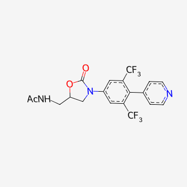 CC(=O)NCC1CN(c2cc(C(F)(F)F)c(-c3ccncc3)c(C(F)(F)F)c2)C(=O)O1